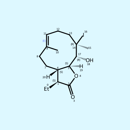 CC[C@@H]1C(=O)O[C@H]2[C@H]1CC/C(C)=C/CC[C@@](C)(I)[C@@H]2O